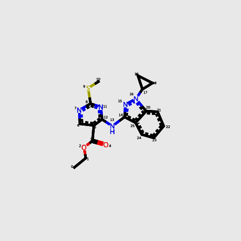 CCOC(=O)c1cnc(SC)nc1Nc1nn(C2CC2)c2ccccc12